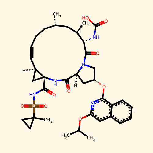 CC(C)Oc1cc2ccccc2c(O[C@@H]2C[C@H]3C(=O)N[C@]4(C(=O)NS(=O)(=O)C5(C)CC5)C[C@H]4/C=C\CC[C@H](C)C[C@@H](C)[C@H](NC(=O)O)C(=O)N3C2)n1